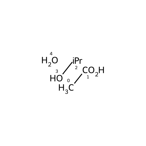 CC(=O)O.CC(C)O.O